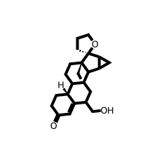 CC[C@]12CCC3C(CC(CO)C4=CC(=O)CC[C@@H]43)C1C1CC1[C@@]21CCCO1